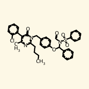 CCCCc1nc(C)c(-c2ccccc2Cl)c(=O)n1Cc1ccc(OC(c2ccccc2)N(C=O)S(=O)(=O)c2ccccc2)cc1